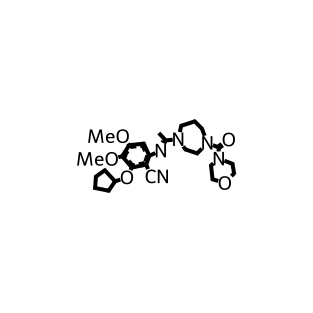 COc1cc(N=C(C)N2CCCN(C(=O)N3CCOCC3)CC2)c(C#N)c(OC2CCCC2)c1OC